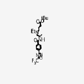 CCN(CCCC(=O)OC(C)(C)C)C[C@@H](C)NC(=O)c1ccc(-c2noc(C(F)(F)F)n2)cc1